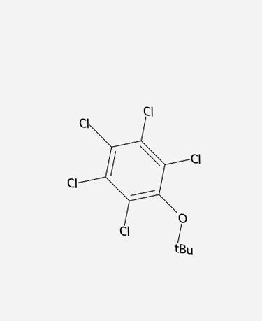 CC(C)(C)Oc1c(Cl)c(Cl)c(Cl)c(Cl)c1Cl